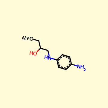 COCC(O)CNc1ccc(N)cc1